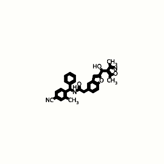 Cc1cc(C#N)ccc1C(NC(=O)Cc1ccc2oc(C(O)c3c(C)noc3C)cc2c1)c1ccccc1